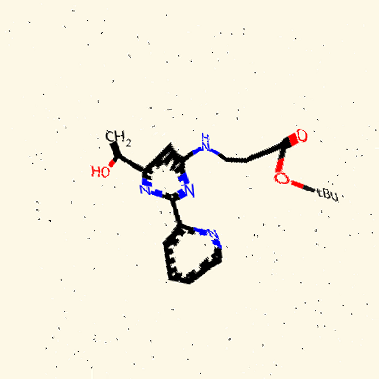 C=C(O)c1cc(NCCC(=O)OC(C)(C)C)nc(-c2ccccn2)n1